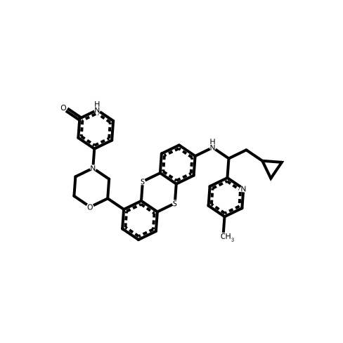 Cc1ccc(C(CC2CC2)Nc2ccc3c(c2)Sc2cccc(C4CN(c5cc[nH]c(=O)c5)CCO4)c2S3)nc1